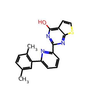 Cc1ccc(C)c(-c2cccc(-c3nc(O)c4ccsc4n3)n2)c1